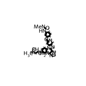 CNC(=O)Nc1cccc(Oc2cc3c(cn2)nc(-c2nonc2N)n3-c2ccc(OCCN(C)C)cc2)c1